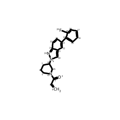 C=CC(=O)N1CCCC(n2cc3cc(-c4ccccc4F)ccc3n2)C1